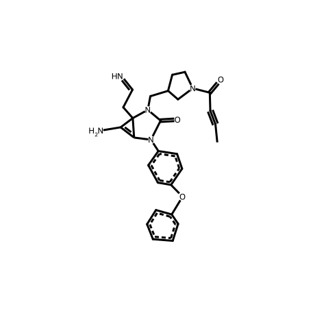 CC#CC(=O)N1CCC(CN2C(=O)N(c3ccc(Oc4ccccc4)cc3)C3=C(N)C32CC=N)C1